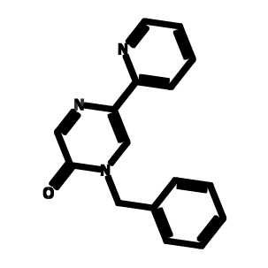 O=c1cnc(-c2ccccn2)cn1Cc1ccccc1